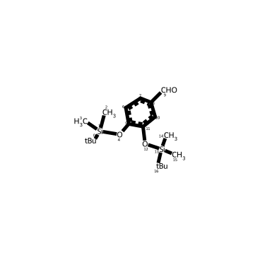 CC(C)(C)[Si](C)(C)Oc1ccc(C=O)cc1O[Si](C)(C)C(C)(C)C